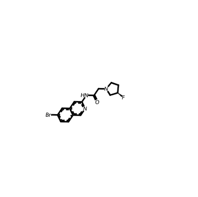 O=C(CN1CC[C@@H](F)C1)Nc1cc2cc(Br)ccc2cn1